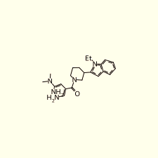 CCn1c(C2CCCN(C(=O)C(=C/N)/C=C(\N)N(C)C)C2)cc2ccccc21